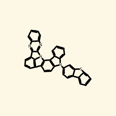 c1ccc2nc3c(nc2c1)c1cccc2c4ccc5c(c6ccccc6n5-c5ccc6c(c5)sc5ccccc56)c4n3c21